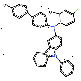 Cc1ccc(-c2ccc(N(c3ccc4c(c3)c3ccccc3n4-c3ccccc3)C3C=CC(F)=CC3C)cc2)cc1